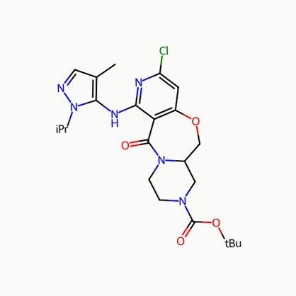 Cc1cnn(C(C)C)c1Nc1nc(Cl)cc2c1C(=O)N1CCN(C(=O)OC(C)(C)C)CC1CO2